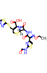 CCON=C(C(=O)NC1C(=O)N2C(C(=O)O)=C(CSc3nncs3)CS[C@@H]12)c1csc(NC=O)n1